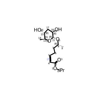 CC(C)OC(=O)/C=C\CC[C@@H](C)O[C@@H]1O[C@@H](C)[C@H](O)C[C@H]1O